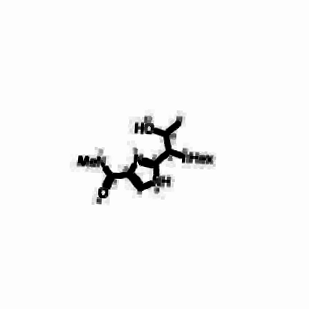 CCCCCCC(c1nc(C(=O)NC)c[nH]1)C(C)O